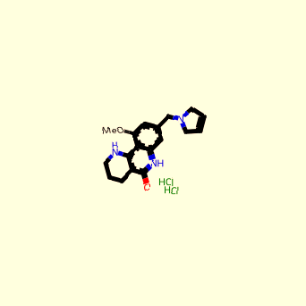 COc1cc(CN2CC=CC2)cc2[nH]c(=O)c3c(c12)NCCC3.Cl.Cl